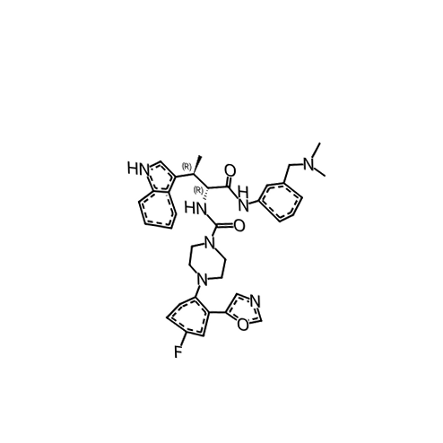 C[C@H](c1c[nH]c2ccccc12)[C@@H](NC(=O)N1CCN(c2ccc(F)cc2-c2cnco2)CC1)C(=O)Nc1cccc(CN(C)C)c1